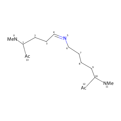 CNC(CC/C=N\CCCCC(NC)C(C)=O)C(C)=O